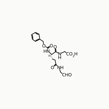 O=CCNC(=O)CC[C@H](NC(=O)OCc1ccccc1)C(=O)NCC(=O)O